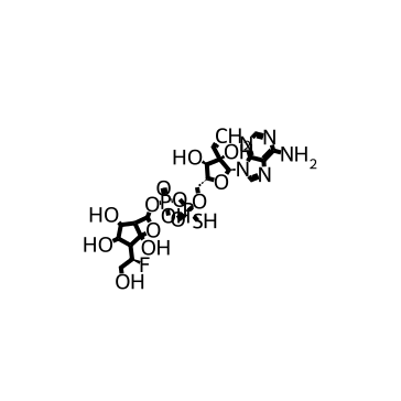 C=C[C@@]1(O)[C@H](O)[C@@H](COP(=O)(S)OP(=O)(O)OC2OC3(O)C2C(O)C(O)C3[C@@H](F)CO)O[C@H]1n1cnc2c(N)ncnc21